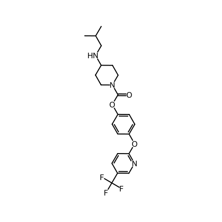 CC(C)CNC1CCN(C(=O)Oc2ccc(Oc3ccc(C(F)(F)F)cn3)cc2)CC1